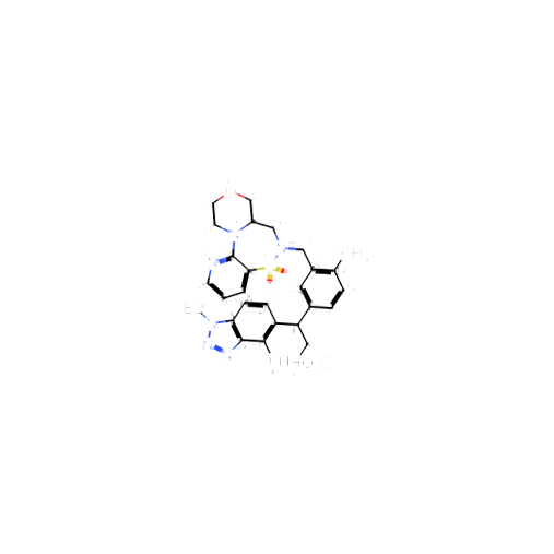 CCn1nnc2c(C)c(C(CC(=O)O)c3ccc(C)c(CN4CC5COCCN5c5ncccc5S4(=O)=O)c3)ccc21